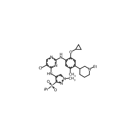 CCN1CCCC(c2cc(OC3CC3)c(Nc3ncc(Cl)c(Nc4cn(C)nc4S(=O)(=O)C(C)C)n3)cc2C)C1